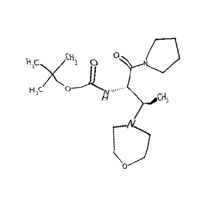 C[C@H]([C@H](NC(=O)OC(C)(C)C)C(=O)N1CCCC1)N1CCOCC1